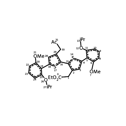 CCOC(=O)Cc1cc(-c2c(OC)cccc2OC(C)C)sc1-c1sc(-c2c(OC)cccc2OC(C)C)cc1CC(C)=O